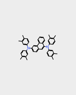 Cc1ccc(N(c2ccc(C)c(C)c2)c2ccc3cc(N(c4ccc(C)c(C)c4)c4ccc(C)c(C)c4)c4ccccc4c3c2)cc1C